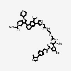 CNC(=O)N1CCc2c(c(C3CCCc4cc(-c5cnn(CC(=O)NCCOCC(=O)N[C@H](C(=O)N6C[C@@H](O)C[C@H]6C(=O)NCc6ccc(-c7scnc7C)cc6)C(C)(C)C)c5)c(C(F)F)cc43)cn2C2CCOCC2)C1